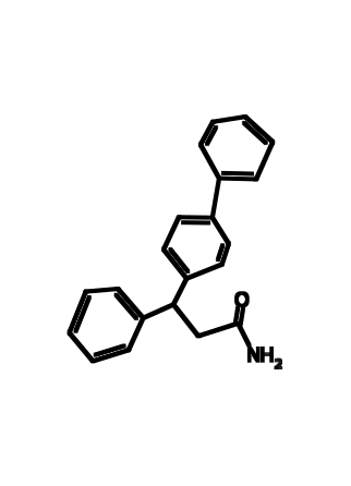 NC(=O)CC(c1ccccc1)c1ccc(-c2ccccc2)cc1